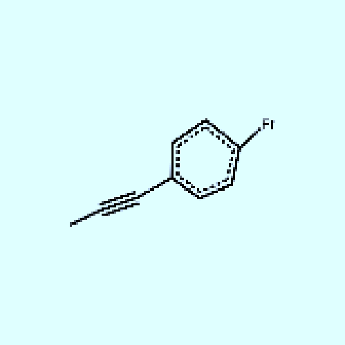 CC#Cc1ccc(CC)cc1